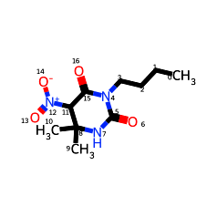 CCCCN1C(=O)NC(C)(C)C([N+](=O)[O-])C1=O